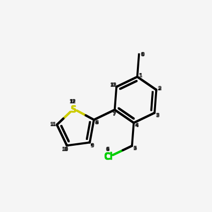 Cc1ccc(CCl)c(-c2cccs2)c1